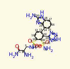 NC(=O)[C@H](N)CNS(=O)(=O)c1ccc(-c2cccc3[nH]c(N)nc23)c(-c2nn[nH]n2)c1S(N)(=O)=O